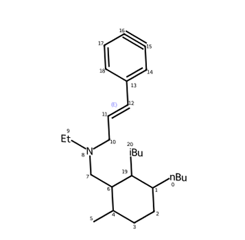 CCCCC1CCC(C)C(CN(CC)C/C=C/c2cc#ccc2)C1C(C)CC